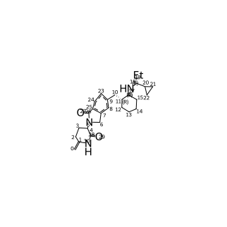 C=C1CCC(N2Cc3cc(C[C@H]4CCCC[C@@H]4N[C@H](CC)C4CC4)ccc3C2=O)C(=O)N1